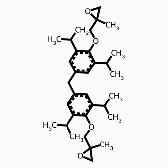 CC(C)c1cc(Cc2cc(C(C)C)c(OCC3(C)CO3)c(C(C)C)c2)cc(C(C)C)c1OCC1(C)CO1